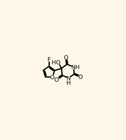 O=C1NC(=O)C(O)(c2occc2F)C(=O)N1